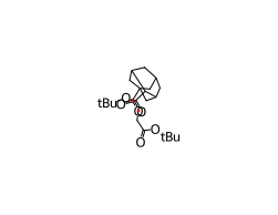 CC(C)(C)OC(=O)COC(=O)C12CC3CC(C1)C(C(=O)OC(C)(C)C)C(C3)C2